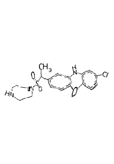 CC(c1ccc2c(c1)Nc1cc(Cl)ccc1O2)S(=O)(=O)N1CCNCC1